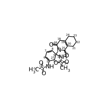 CS(=O)(=O)NC1=CC=CC(NS(C)(=O)=O)(N2C(=O)CC3=C(CCCC3)C2=O)C1